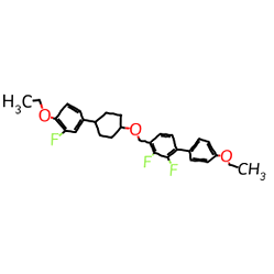 CCOc1ccc(-c2ccc(COC3CCC(c4ccc(OCC)c(F)c4)CC3)c(F)c2F)cc1